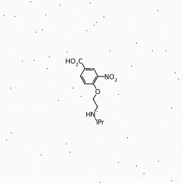 CC(C)NCCOc1ccc(C(=O)O)cc1[N+](=O)[O-]